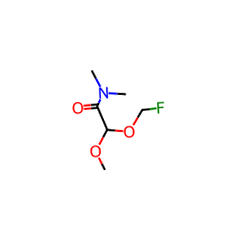 COC(OCF)C(=O)N(C)C